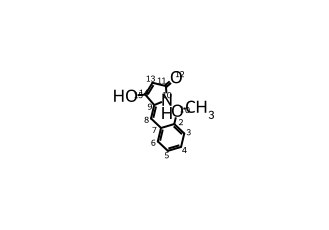 COc1ccccc1C=C1NC(=O)C=C1O